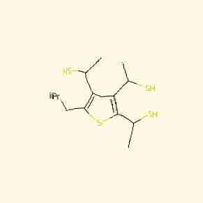 CC(C)Cc1sc(C(C)S)c(C(C)S)c1C(C)S